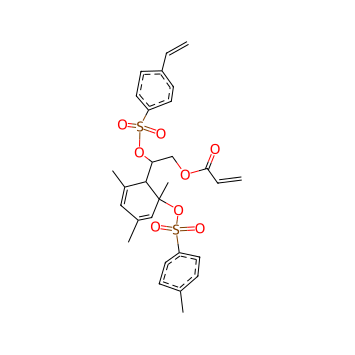 C=CC(=O)OCC(OS(=O)(=O)c1ccc(C=C)cc1)C1C(C)=CC(C)=CC1(C)OS(=O)(=O)c1ccc(C)cc1